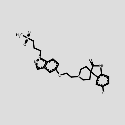 CS(=O)(=O)CCCn1ncc2cc(OCCN3CCC4(CC3)C(=O)Nc3ccc(Cl)cc34)ccc21